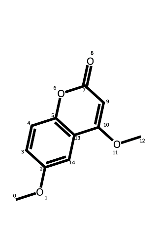 COc1ccc2oc(=O)cc(OC)c2c1